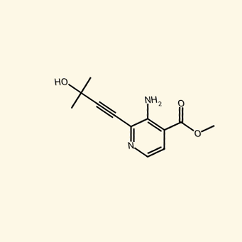 COC(=O)c1ccnc(C#CC(C)(C)O)c1N